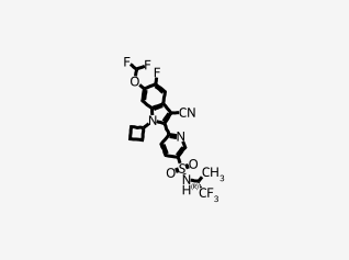 C[C@@H](NS(=O)(=O)c1ccc(-c2c(C#N)c3cc(F)c(OC(F)F)cc3n2C2CCC2)nc1)C(F)(F)F